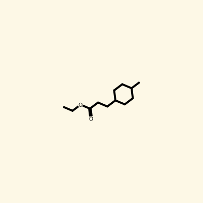 CCOC(=O)CCC1CCC(C)CC1